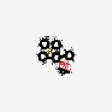 CC1(C)OB(c2ccccc2-c2ccc3c(c2)S(c2ccccc2)(c2ccccc2)c2ccccc2-3)OC1(C)C